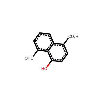 O=Cc1cccc2c(C(=O)O)ccc(O)c12